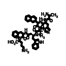 CC(N)C(=O)NC(Cc1cnc[nH]1)C(=O)NC(C(=O)NC(C)C(=O)N[C@H](CC(=O)NC(Cc1ccccc1)C(=O)NC(CCCN)C(=O)O)Cc1c[nH]c2ccccc12)c1ccc2ccccc2c1